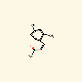 CC(=O)/C=C\c1ccc(C)cc1C